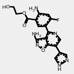 Nc1cc(F)c(-c2ncc(-c3cn[nH]c3)c3onc(N)c23)cc1C(=O)OCCO